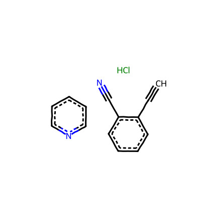 C#Cc1ccccc1C#N.Cl.c1ccncc1